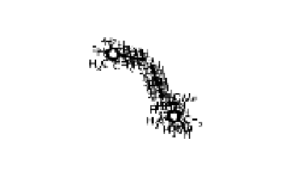 [2H]OC(C)(C)c1c([2H])c(C([2H])(OC)C([2H])([2H])N([2H])C([2H])([2H])C([2H])([2H])C([2H])([2H])C([2H])([2H])C([2H])([2H])C([2H])([2H])OC([2H])([2H])C([2H])([2H])C([2H])([2H])C([2H])([2H])c2c([2H])c([2H])c([2H])c(C)c2C)c(C)c(C)c1OC